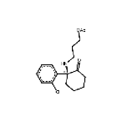 CC(=O)OCCCN[C@]1(c2ccccc2Cl)CCCCC1=O